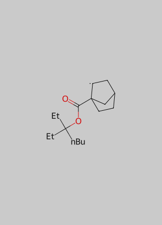 CCCCC(CC)(CC)OC(=O)C12[CH]CC(CC1)C2